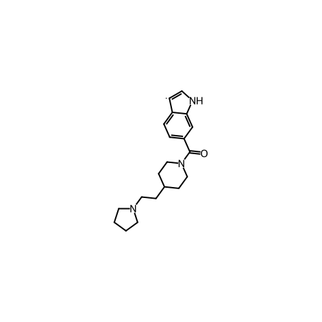 O=C(c1ccc2[c]c[nH]c2c1)N1CCC(CCN2CCCC2)CC1